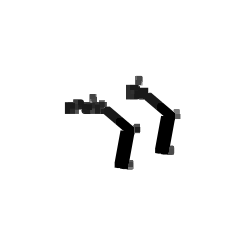 C=CC(C)CC.C=CCCCCC